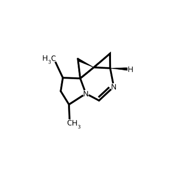 CC1CC(C)C23C[C@]24C[C@@H]4N=CN13